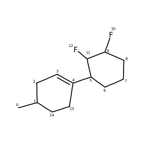 CC1CC=C(C2CCCC(F)C2F)CC1